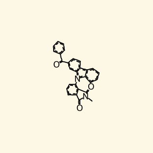 CN1C(=O)c2cccc(-n3c4ccccc4c4ccc(C(=O)c5ccccc5)cc43)c2C1=O